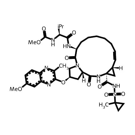 COC(=O)N[C@H](C(=O)N[C@H]1CCCCC/C=C\[C@@H]2C[C@@]2(C(=O)NS(=O)(=O)C2(C)CC2)NC(=O)[C@@H]2C[C@@H](Oc3nc4cc(OC)ccc4nc3C)CN2C1=O)C(C)C